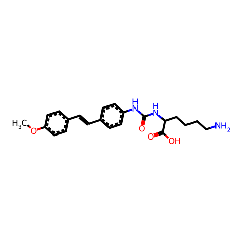 COc1ccc(C=Cc2ccc(NC(=O)NC(CCCCN)C(=O)O)cc2)cc1